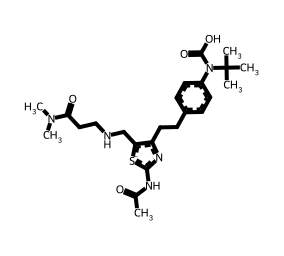 CC(=O)Nc1nc(CCc2ccc(N(C(=O)O)C(C)(C)C)cc2)c(CNCCC(=O)N(C)C)s1